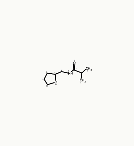 CC(C)C(=O)NCC1CCCO1